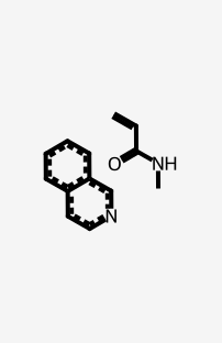 C=CC(=O)NC.c1ccc2cnccc2c1